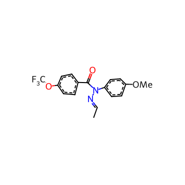 CC=NN(C(=O)c1ccc(OC(F)(F)F)cc1)c1ccc(OC)cc1